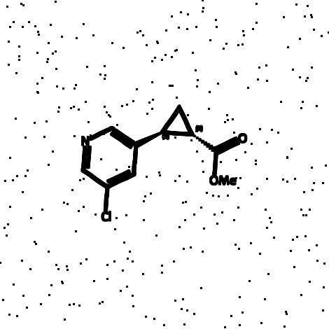 COC(=O)[C@H]1C[C@@H]1c1cncc(Cl)c1